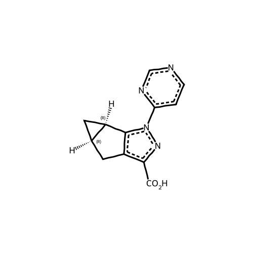 O=C(O)c1nn(-c2ccncn2)c2c1C[C@H]1C[C@@H]21